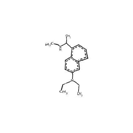 CCN(CC)c1ccc2c(C(C)NC)cccc2c1